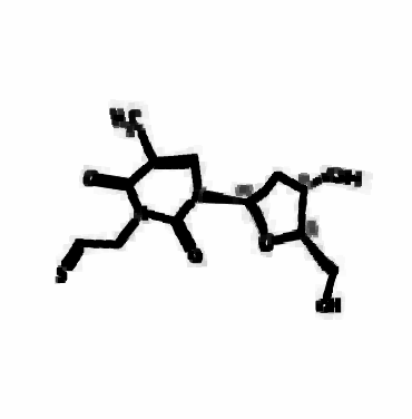 Cc1cn([C@H]2C[C@H](O)[C@@H](CO)O2)c(=O)n(CC=S)c1=O